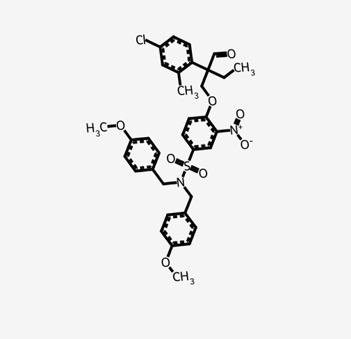 CCC(C=O)(COc1ccc(S(=O)(=O)N(Cc2ccc(OC)cc2)Cc2ccc(OC)cc2)cc1[N+](=O)[O-])c1ccc(Cl)cc1C